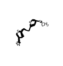 COc1csc(CCc2cc(C#N)cs2)c1